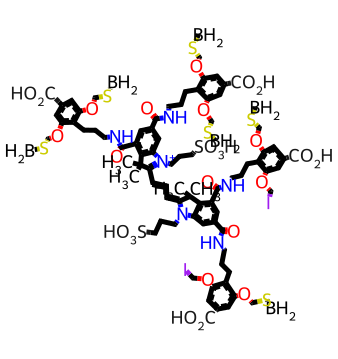 BSCOc1cc(C(=O)O)cc(OCI)c1CCCNC(=O)c1cc(C(=O)NCCCc2c(OCI)cc(C(=O)O)cc2OCSB)c2c(c1)N(CCCS(=O)(=O)O)/C(=C/C=C/C1=[N+](CCCS(=O)(=O)O)c3cc(C(=O)NCCCc4c(OCSB)cc(C(=O)O)cc4OCSB)cc(C(=O)NCCCc4c(OCSB)cc(C(=O)O)cc4OCSB)c3C1(C)C)C2(C)C